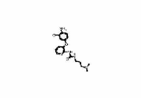 CN(C)CCCNC(=O)Nc1ncccc1Oc1ccc(N)c(Cl)c1